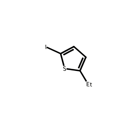 CCc1ccc(I)s1